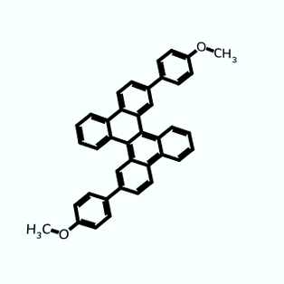 COc1ccc(-c2ccc3c4ccccc4c4c5cc(-c6ccc(OC)cc6)ccc5c5ccccc5c4c3c2)cc1